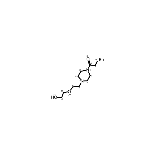 CC(C)(C)CC(=O)N1CCN(CCOCCO)CC1